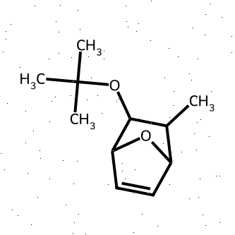 CC1C2C=CC(O2)C1OC(C)(C)C